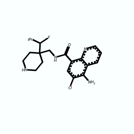 CC(C)C(F)C1(CNC(=O)c2cc(Cl)c(N)c3cccnc23)CCNCC1